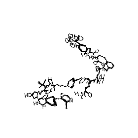 Cc1ncsc1-c1ccc([C@H](C)NC(=O)[C@@H]2C[C@@H](O)CN2C(=O)[C@@H](NC(=O)CCCCc2ccc(COC[C@H](CCC(N)=O)NC(=O)[C@@H]3Cc4cccc5c4N3C(=O)[C@@H](NC(=O)c3cc4cc(C(=O)P(=O)(O)O)ccc4[nH]3)CC5)cc2)C(C)(C)C)cc1